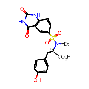 CCN([C@H](Cc1ccc(O)cc1)C(=O)O)S(=O)(=O)c1ccc2[nH]c(=O)[nH]c(=O)c2c1